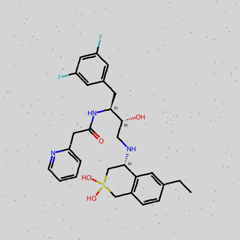 CCc1ccc2c(c1)[C@@H](NC[C@@H](O)[C@H](Cc1cc(F)cc(F)c1)NC(=O)Cc1ccccn1)CS(O)(O)C2